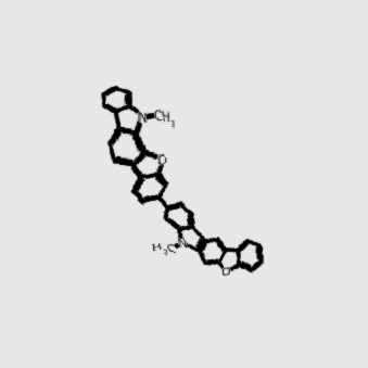 Cn1c2cc(-c3ccc4c(c3)oc3c4ccc4c5ccccc5n(C)c43)ccc2c2cc3c(cc21)oc1ccccc13